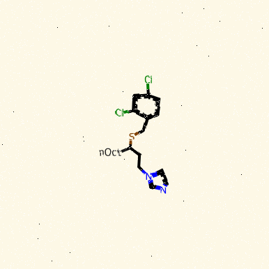 CCCCCCCCC(CCn1ccnc1)SCc1ccc(Cl)cc1Cl